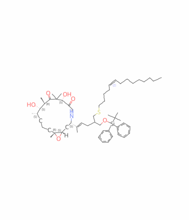 CCCCCCCC/C=C\CCCCSCC(CC=C(C)[C@@H]1C[C@@H]2O[C@]2(C)CCC[C@H](C)[C@H](O)[C@@H](C)C(=O)C(C)(C)[C@H](O)C(=O)CN1)CO[Si](c1ccccc1)(c1ccccc1)C(C)(C)C